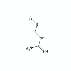 CCSCNC(=N)N